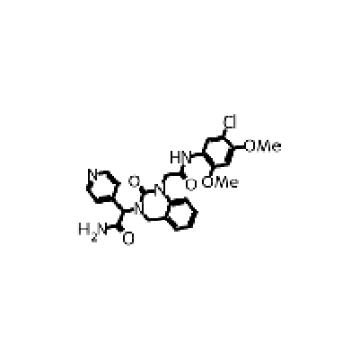 COc1cc(OC)c(NC(=O)CN2C(=O)N(C(C(N)=O)c3ccncc3)Cc3ccccc32)cc1Cl